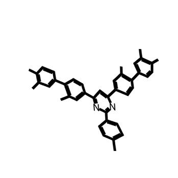 Cc1ccc(-c2nc(-c3ccc(-c4ccc(C)c(C)c4)c(C)c3)cc(-c3ccc(-c4ccc(C)c(C)c4)c(C)c3)n2)cc1